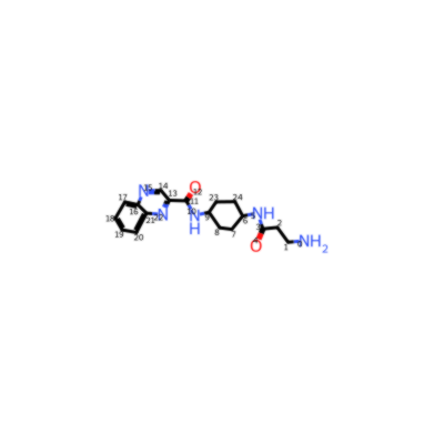 NCCC(=O)NC1CCC(NC(=O)c2cnc3ccccc3n2)CC1